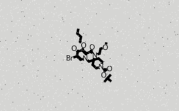 CCCCOc1c2n(cc(Br)c1=O)CC1(CCN(C(=O)OC(C)(C)C)CC1)N(CCOC)C2=O